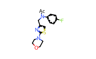 CC(=O)N(Cc1csc(N2CCOCC2)n1)c1ccc(F)cc1